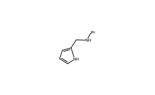 CC(C)NCc1ccc[nH]1